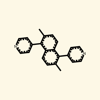 Cc1ccc2c(-c3ccncc3)c(C)ccc2c1-c1ccncc1